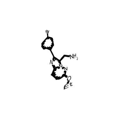 CCOc1ccc2nc(-c3ccc(Br)cc3)c(CN)n2n1